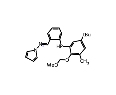 COCOc1c(C)cc(C(C)(C)C)cc1Pc1ccccc1/C=N/n1cccc1